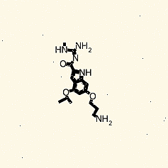 CNC(N)=NC(=O)c1cc2c(OC(C)C)cc(OCCCN)cc2[nH]1